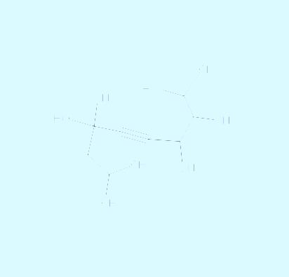 CC(C)CC(C)(O)C#CC(O)C(C)C(C)C